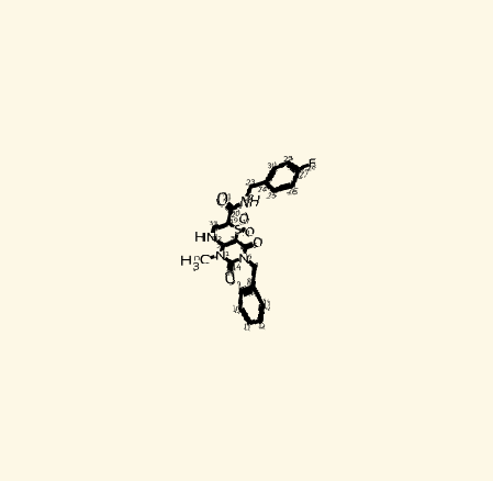 Cn1c2c(c(=O)n(Cc3ccccc3)c1=O)S(=O)(=O)C(C(=O)NCc1ccc(F)cc1)=CN2